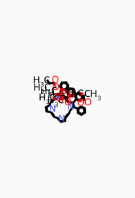 C=C(C)C(=O)Oc1ccccc1C1=CC2=CC3=NC(=CC4=NC(=CC5=NC(=C(c6ccccc6OC(=O)C(=C)C)C1=N2)C(c1ccccc1OC(=O)C(=C)C)=C5c1ccccc1OC(=O)C(=C)C)C=C4)C=C3